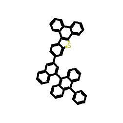 c1ccc(-c2c3ccccc3c(-c3cc(-c4ccc5c(c4)sc4c6ccccc6c6ccccc6c54)cc4ccccc34)c3ccccc23)cc1